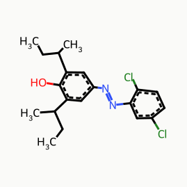 CCC(C)c1cc(N=Nc2cc(Cl)ccc2Cl)cc(C(C)CC)c1O